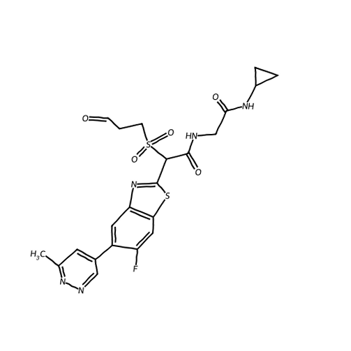 Cc1cc(-c2cc3nc(C(C(=O)NCC(=O)NC4CC4)S(=O)(=O)CCC=O)sc3cc2F)cnn1